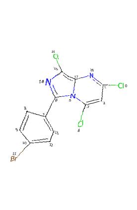 Clc1cc(Cl)n2c(-c3ccc(Br)cc3)nc(Cl)c2n1